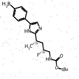 Bc1ccc(-c2cnc([C@@H](C)C[C@@H](F)CNC(=O)OC(C)(C)C)[nH]2)cc1